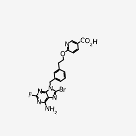 Nc1nc(F)nc2c1nc(Br)n2Cc1cccc(CCOc2ccc(C(=O)O)cn2)c1